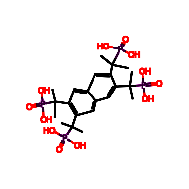 CC(C)(c1cc2cc(C(C)(C)P(=O)(O)O)c(C(C)(C)P(=O)(O)O)cc2cc1C(C)(C)P(=O)(O)O)P(=O)(O)O